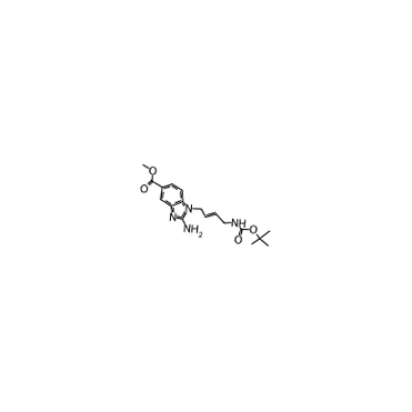 COC(=O)c1ccc2c(c1)nc(N)n2C/C=C/CNC(=O)OC(C)(C)C